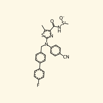 Cc1sc(N(Cc2ccc(-c3ccc(F)cc3)cc2)c2ccc(C#N)cc2)nc1C(=O)N[S+](C)[O-]